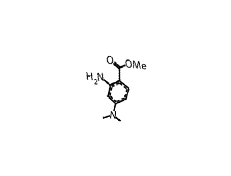 COC(=O)c1ccc(N(C)C)cc1N